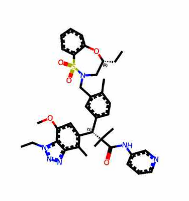 CC[C@@H]1CN(Cc2cc([C@@H](c3cc(OC)c4c(nnn4CC)c3C)C(C)(C)C(=O)Nc3cccnc3)ccc2C)S(=O)(=O)c2ccccc2O1